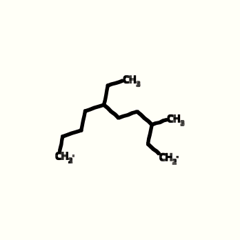 [CH2]CCCC(CC)CCC(C)C[CH2]